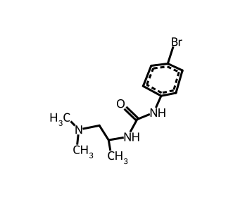 CC(CN(C)C)NC(=O)Nc1ccc(Br)cc1